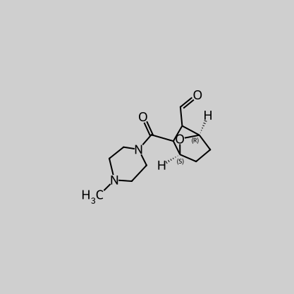 CN1CCN(C(=O)C2C(C=O)[C@H]3CC[C@@H]2O3)CC1